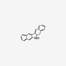 C1=C2c3cc4ccccc4cc3NC2Cc2ccccc21